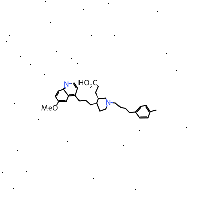 COc1ccc2nccc(CCC[C@@H]3CCN(CCCCc4ccc(C)cc4)C[C@@H]3CCC(=O)O)c2c1